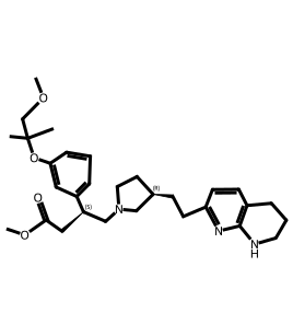 COCC(C)(C)Oc1cccc([C@H](CC(=O)OC)CN2CC[C@@H](CCc3ccc4c(n3)NCCC4)C2)c1